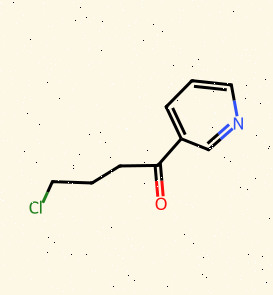 O=C(CCCCl)c1cccnc1